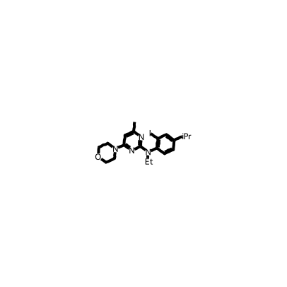 CCN(c1nc(C)cc(N2CCOCC2)n1)c1ccc(C(C)C)cc1I